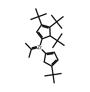 C[C](C)=[Zr]([C]1=CC=C(C(C)(C)C)C1)[C]1=CC(C(C)(C)C)=C(C(C)(C)C)C1C(C)(C)C